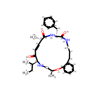 CCC(C)[C@@H]1NC[C@H](C)Oc2ccccc2CCCNC(=O)[C@@H](Cc2ccccc2)NC(=O)[C@@H](C)/C=C/C1=O